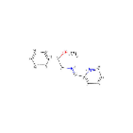 COC(CN=Cc1ccccn1)c1ccccc1